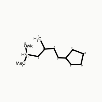 CO[SiH](CC(C)CCC1CCCC1)OC